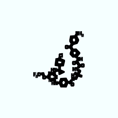 CC(C)(CNC(=O)C(=O)Nc1ccc(C(=O)c2ccc(N)cc2)cc1)CNC(=O)c1ccc(Nc2nc(NC3(c4ccc(Cl)cc4)CC3)nc(OCC(F)(F)F)n2)cc1